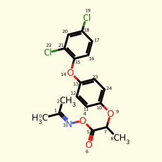 CC(C)=NOC(=O)C(C)Oc1ccc(Oc2ccc(Cl)cc2Cl)cc1